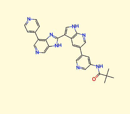 CC(C)(C)C(=O)Nc1cncc(-c2cnc3[nH]cc(-c4nc5c(-c6ccncc6)cncc5[nH]4)c3c2)c1